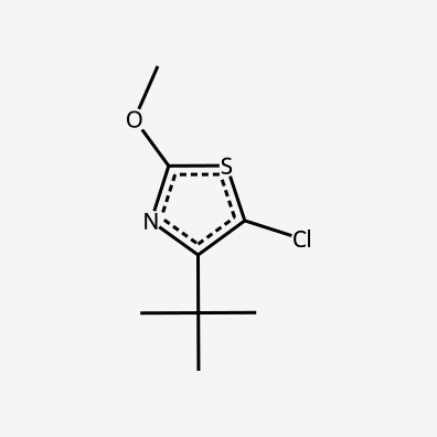 COc1nc(C(C)(C)C)c(Cl)s1